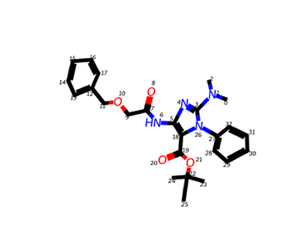 CN(C)c1nc(NC(=O)COCc2ccccc2)c(C(=O)OC(C)(C)C)n1-c1ccccc1